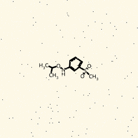 CC(C)ONc1cccc(S(C)(=O)=O)c1